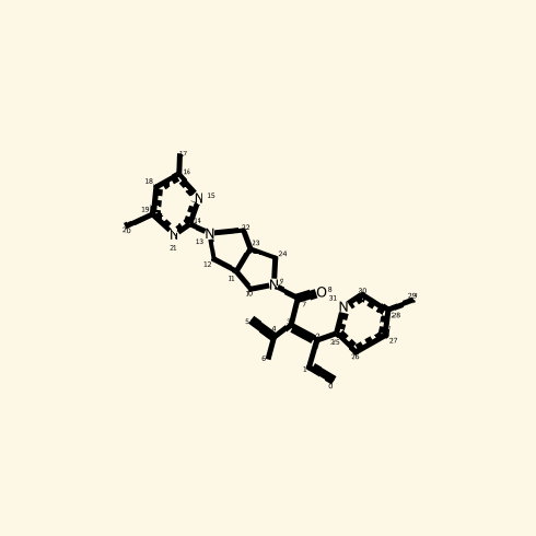 C=C/C(=C(\C(=C)C)C(=O)N1CC2CN(c3nc(C)cc(C)n3)CC2C1)c1ccc(C)cn1